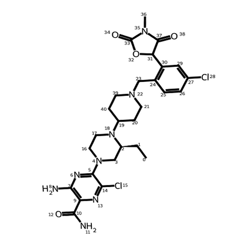 CC[C@H]1CN(c2nc(N)c(C(N)=O)nc2Cl)CCN1C1CCN(Cc2ccc(Cl)cc2C2OC(=O)N(C)C2=O)CC1